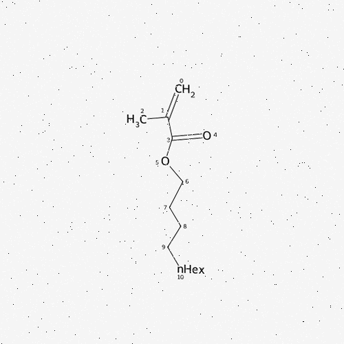 C=C(C)C(=O)O[CH]CCCCCCCCC